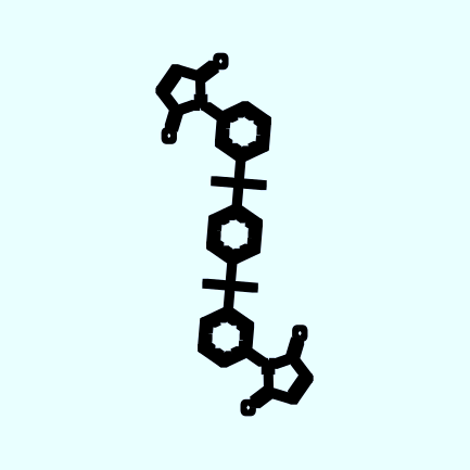 CC(C)(c1ccc(C(C)(C)c2cccc(N3C(=O)C=CC3=O)c2)cc1)c1cccc(N2C(=O)C=CC2=O)c1